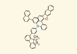 CC1(C)c2ccccc2-c2cccc(-c3ccc(N(c4cccc(-c5cccc6ccccc56)c4)c4ccccc4-c4cccc5c4oc4cc6ccccc6cc45)cc3)c21